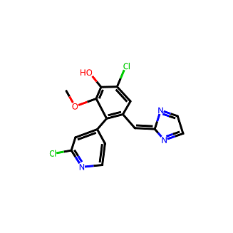 COc1c(O)c(Cl)cc(C=C2N=CC=N2)c1-c1ccnc(Cl)c1